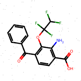 Nc1c(C(=O)O)ccc(C(=O)c2ccccc2)c1OC(F)(F)C(F)F